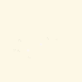 CN/C(=C1\C(=N)CC/C(=C\N(C)C)C1=O)C(C)(C)C